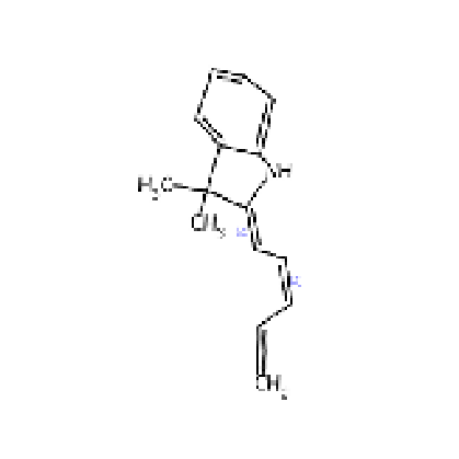 C=C/C=C\C=C1/Nc2ccccc2C1(C)C